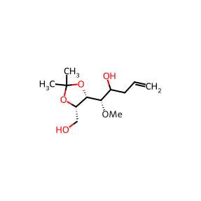 C=CCC(O)[C@H](OC)[C@H]1OC(C)(C)O[C@H]1CO